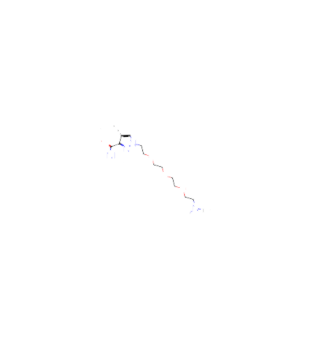 CC(C)(C)N(CCOCCOCCOCCn1cc([N+](=O)[O-])c(C(N)=O)n1)C(=O)O